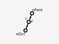 CCCCCCCCc1ccc(C#Cc2cc(F)c(C#Cc3ccc(CCCCC)cc3)c(F)c2)cc1